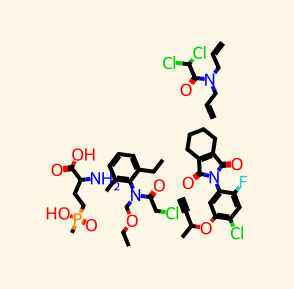 C#CC(C)Oc1cc(N2C(=O)C3=C(CCCC3)C2=O)c(F)cc1Cl.C=CCN(CC=C)C(=O)C(Cl)Cl.CCOCN(C(=O)CCl)c1c(C)cccc1CC.CP(=O)(O)CCC(N)C(=O)O